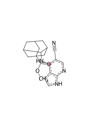 COC(=O)C12CC3CC(C1)C(Nc1c(C#N)cnc4[nH]ccc14)C(C3)C2